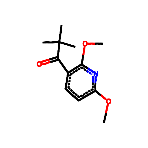 COc1ccc(C(=O)C(C)(C)C)c(OC)n1